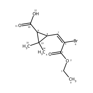 CCOC(=O)/C(Br)=C\C1C(C(=O)O)C1(C)C